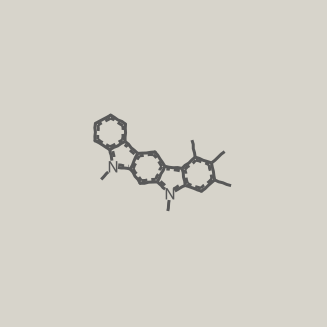 Cc1cc2c(c(C)c1C)c1cc3c4ccccc4n(C)c3cc1n2C